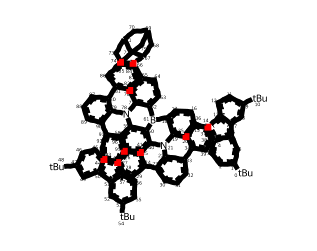 CC(C)(C)c1ccc2c(c1)c1cc(C(C)(C)C)ccc1n2-c1ccc2c(c1)N(c1c(-c3ccccc3)cccc1-c1ccccc1)c1cc(-n3c4ccc(C(C)(C)C)cc4c4cc(C(C)(C)C)ccc43)cc3c1B2c1ccc(N2C4CC5CC(C4)CC2C5)cc1N3c1c(-c2ccccc2)cccc1-c1ccccc1